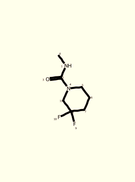 CNC(=O)N1CCCC(F)(F)C1